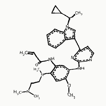 C=CC(=O)Nc1cc(Nc2nccc(-c3cn([C@H](C)C4CC4)c4ccccc34)n2)c(OC)cc1N(C)CCN(C)C